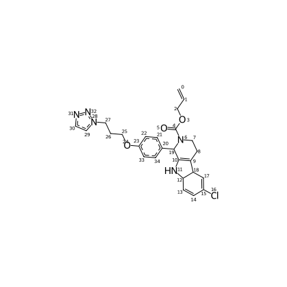 C=CCOC(=O)N1CCC2=C(NC3C=CC(Cl)=CC23)C1c1ccc(OCCCn2ccnn2)cc1